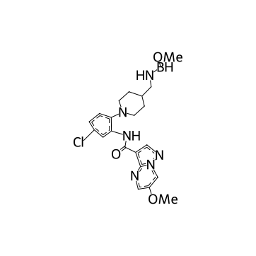 COBNCC1CCN(c2ccc(Cl)cc2NC(=O)c2cnn3cc(OC)cnc23)CC1